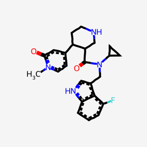 Cn1ccc(C2CCNCC2C(=O)N(Cc2c[nH]c3cccc(F)c23)C2CC2)cc1=O